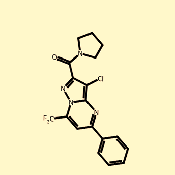 O=C(c1nn2c(C(F)(F)F)cc(-c3ccccc3)nc2c1Cl)N1CCCC1